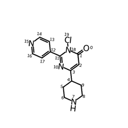 O=c1cc(C2CCNCC2)nc(-c2ccncc2)n1Cl